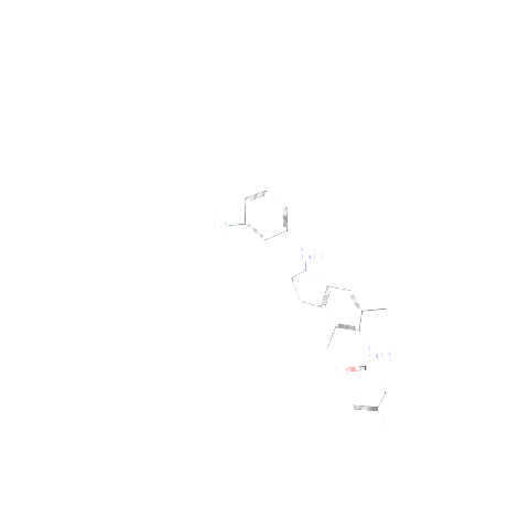 C=C(C)CC(=O)Nc1c(C)cc2c(c1C)CCC2Nc1cccc(Cl)c1